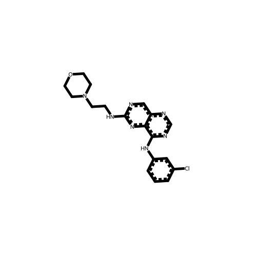 Clc1cccc(Nc2ncnc3cnc(NCCN4CCOCC4)nc23)c1